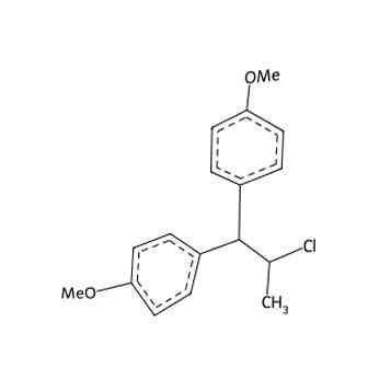 COc1ccc(C(c2ccc(OC)cc2)C(C)Cl)cc1